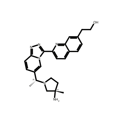 C[C@H](c1ccc2nnc(-c3ccc4ccc(CCO)cc4n3)n2c1)N1CC[C@](C)(N)C1